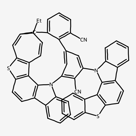 CCC1C=Cc2c3sc4ccc5c6ccccc6n(c5c24)-c2cc(cc(-n4c5ccccc5c5ccc6sc7ccccc7c6c54)c2C#N)-c2c(C#N)cccc2CC1=C3